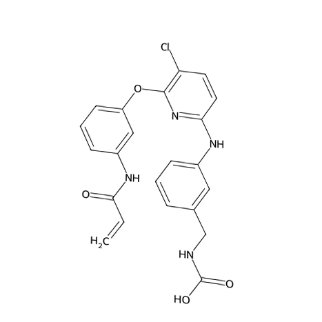 C=CC(=O)Nc1cccc(Oc2nc(Nc3cccc(CNC(=O)O)c3)ccc2Cl)c1